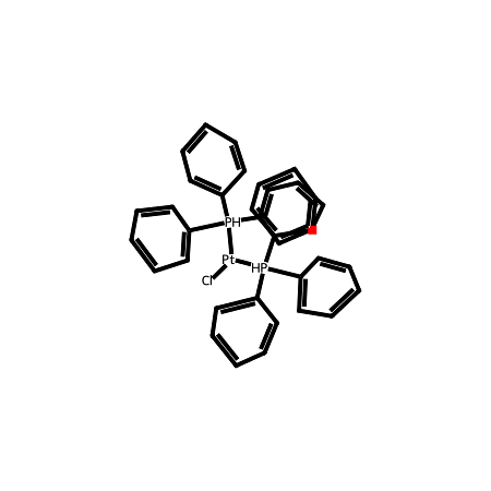 [Cl][Pt]([PH](c1ccccc1)(c1ccccc1)c1ccccc1)[PH](c1ccccc1)(c1ccccc1)c1ccccc1